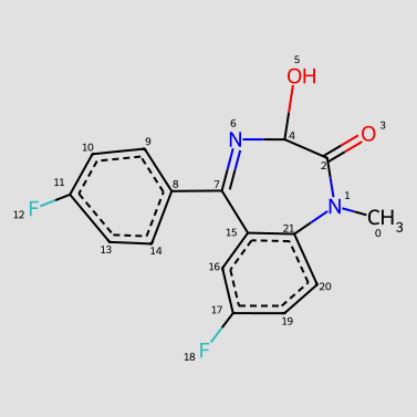 CN1C(=O)C(O)N=C(c2ccc(F)cc2)c2cc(F)ccc21